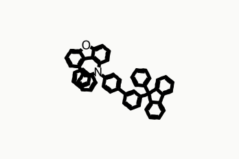 c1ccc(-c2cccc3oc4cccc(N(c5ccccc5)c5ccc(-c6cccc(C7(c8ccccc8)c8ccccc8-c8ccccc87)c6)cc5)c4c23)cc1